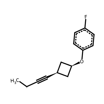 C[CH]C#C[C@H]1C[C@@H](Oc2ccc(F)cc2)C1